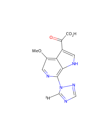 [2H]c1ncnn1-c1ncc(OC)c2c(C(=O)C(=O)O)c[nH]c12